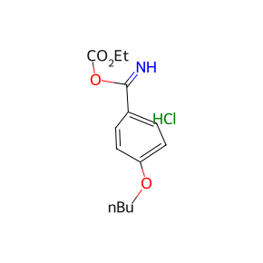 CCCCOc1ccc(C(=N)OC(=O)OCC)cc1.Cl